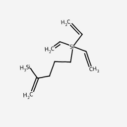 C=C[Si](C=C)(C=C)CCCC(=C)[SiH3]